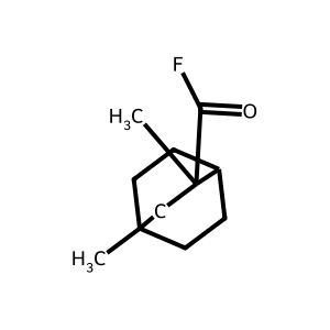 CC12CCC(CC1)C(C)(C(=O)F)C2